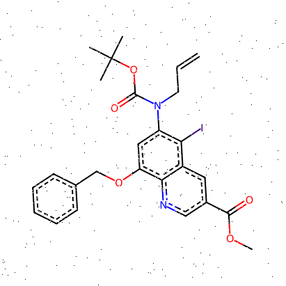 C=CCN(C(=O)OC(C)(C)C)c1cc(OCc2ccccc2)c2ncc(C(=O)OC)cc2c1I